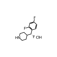 Cl.Fc1ccc([C@H](F)C2CCNCC2)c(F)c1